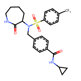 O=C(NC1CC1)c1ccc(CN(C2CCCCNC2=O)S(=O)(=O)c2ccc(C(F)(F)F)cc2)cc1